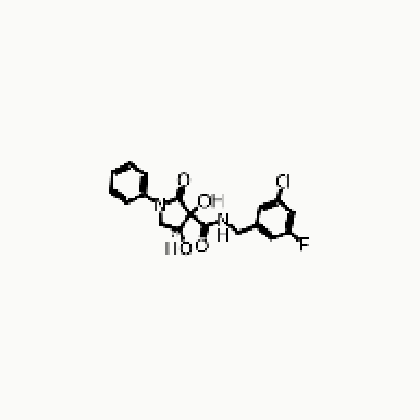 O=C(NCc1cc(F)cc(Cl)c1)C1(O)C(=O)N(c2ccccc2)C[C@@H]1O